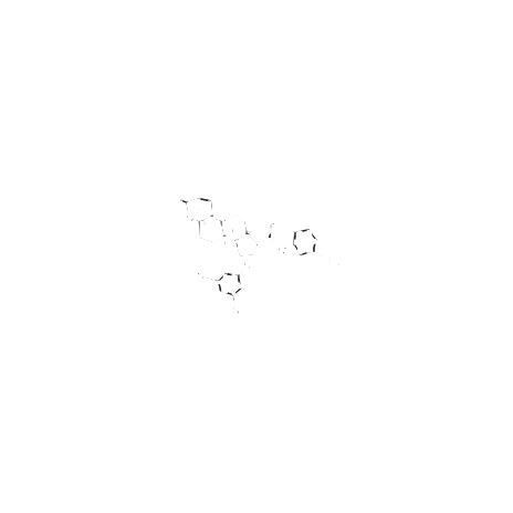 C[C@]12C=CC(=O)N[C@@H]1CC[C@@H]1[C@@H]2CC[C@]2(C)[C@@H](C(=O)Nc3cc(C(F)(F)F)ccc3C(F)(F)F)CC[C@@H]12.O=[N+]([O-])c1cc([N+](=O)[O-])cc([N+](=O)[O-])c1